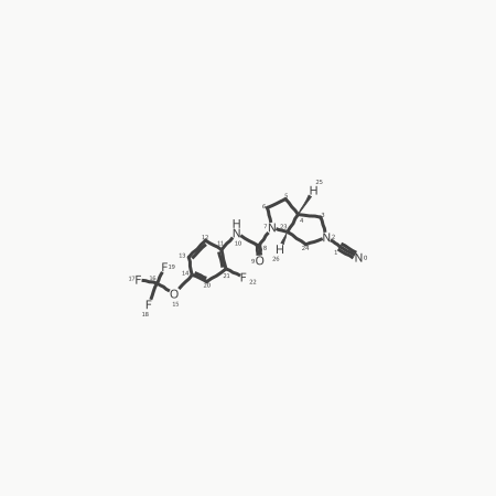 N#CN1C[C@H]2CCN(C(=O)Nc3ccc(OC(F)(F)F)cc3F)[C@H]2C1